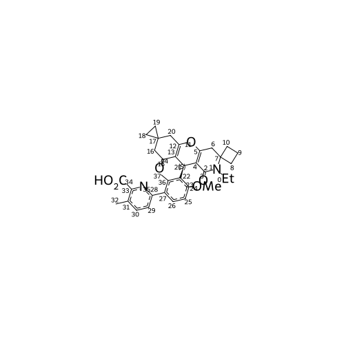 CCN1C(=O)C2=C(CC13CCC3)OC1=C(C(=O)CC3(CC3)C1)[C@@H]2c1c(OC)ccc(-c2ccc(C)c(C(=O)O)n2)c1C